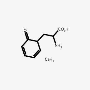 NC(CC1C=CC=CC1=O)C(=O)O.[CaH2]